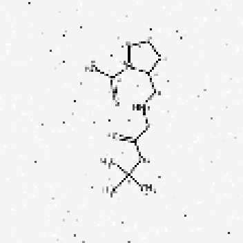 CC(C)(C)OC(=O)CNCC1CCCN1C(=O)O